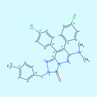 CN(C)c1nn2c(=O)n(Cc3ccc(C(F)(F)F)cc3)nc2c(-c2ccc(Cl)cc2)c1-c1ccc(Cl)cc1